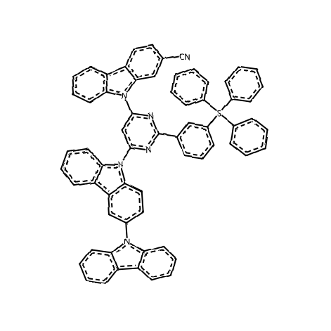 N#Cc1ccc2c3ccccc3n(-c3cc(-n4c5ccccc5c5cc(-n6c7ccccc7c7ccccc76)ccc54)nc(-c4cccc(S(c5ccccc5)(c5ccccc5)c5ccccc5)c4)n3)c2c1